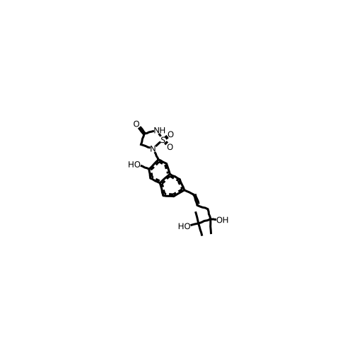 CC(C)(O)C(C)(O)CC=Cc1ccc2cc(O)c(N3CC(=O)NS3(=O)=O)cc2c1